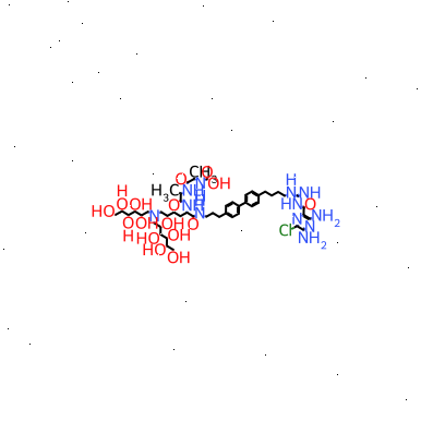 CC(NC(=O)O)C(=O)NC(C)C(=O)NC(CCCCN(CC(O)C(O)C(O)C(O)CO)CC(O)C(O)C(O)C(O)CO)C(=O)NCCCc1ccc(-c2ccc(CCCCNC(=N)NC(=O)c3nc(Cl)c(N)nc3N)cc2)cc1